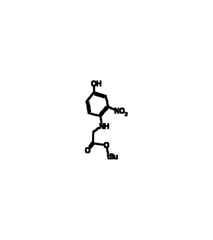 CC(C)(C)OC(=O)CNc1ccc(O)cc1[N+](=O)[O-]